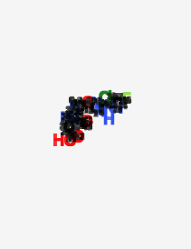 C[C@H]1C[C@@H](Oc2ccnc(CNc3ncc(F)cc3Cl)n2)CCN1Cc1nc2ccc(C(=O)O)cc2n1C[C@@H]1CCO1